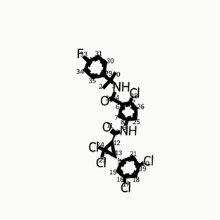 CC(C)(NC(=O)c1cc(NC(=O)[C@H]2[C@H](c3cc(Cl)cc(Cl)c3)C2(Cl)Cl)ccc1Cl)c1ccc(F)cc1